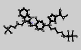 COC(=O)c1csc(N(CCCCO[Si](C)(C)C(C)(C)C)c2cc(C)c(/N=c3\sc4ccccc4n3COCC[Si](C)(C)C)nn2)n1